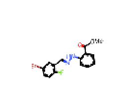 COC(=O)c1ccccc1NN=Cc1cc(Br)ccc1F